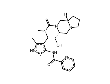 C=C(N(C)Cc1c(NC(=O)c2ccccn2)n[nH]c1C)N1C[C@@H]2CCCN2C[C@@H]1CO